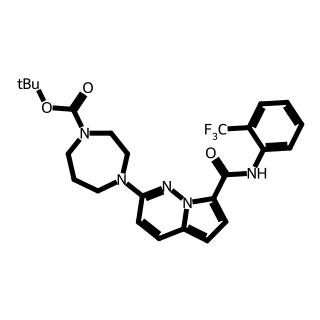 CC(C)(C)OC(=O)N1CCCN(c2ccc3ccc(C(=O)Nc4ccccc4C(F)(F)F)n3n2)CC1